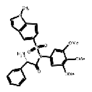 COc1cc(N(C(=O)[C@@H](N)c2ccccc2)S(=O)(=O)c2ccc3c(ccn3C)c2)cc(OC)c1OC